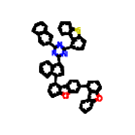 c1ccc2cc(-c3nc(-c4ccc(-c5cccc6oc7cc(-c8cccc9oc%10ccccc%10c89)ccc7c56)c5ccccc45)nc(-c4cccc5sc6ccccc6c45)n3)ccc2c1